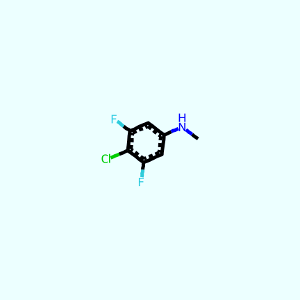 CNc1cc(F)c(Cl)c(F)c1